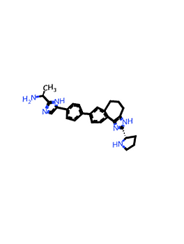 C[C@H](N)c1ncc(-c2ccc(-c3ccc4c(c3)CCCc3[nH]c([C@@H]5CCCN5)nc3-4)cc2)[nH]1